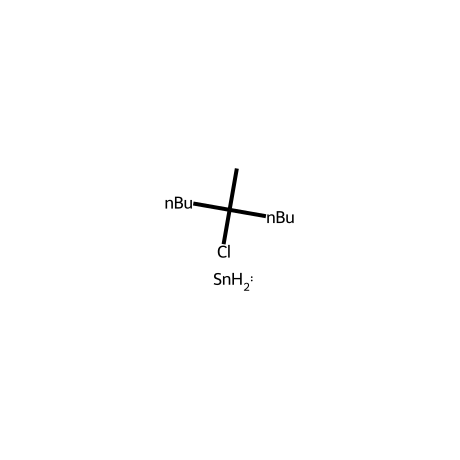 CCCCC(C)(Cl)CCCC.[SnH2]